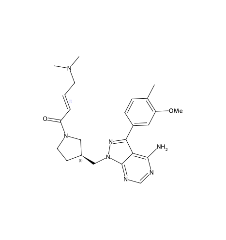 COc1cc(-c2nn(C[C@H]3CCN(C(=O)/C=C/CN(C)C)C3)c3ncnc(N)c23)ccc1C